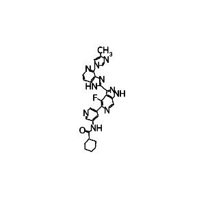 Cc1cn(-c2nccc3[nH]c(-c4n[nH]c5cnc(-c6cncc(NC(=O)C7CCCCC7)c6)c(F)c45)nc23)cn1